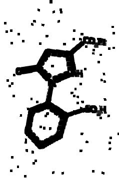 CCOC(=O)c1cc(=O)n(-c2ccccc2S(=O)(=O)O)[nH]1